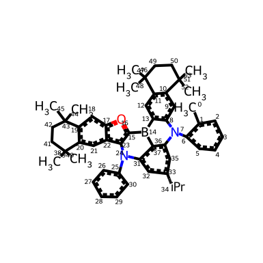 Cc1ccccc1N1c2cc3c(cc2B2c4oc5cc6c(cc5c4N(c4ccccc4)c4cc(C(C)C)cc1c42)C(C)(C)CCC6(C)C)C(C)(C)CCC3(C)C